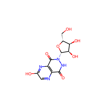 O=c1[nH]n([C@@H]2O[C@H](CO)[C@@H](O)[C@H]2O)c(=O)c2nc(O)cnc12